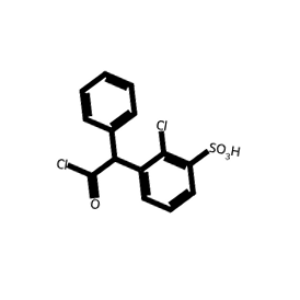 O=C(Cl)C(c1ccccc1)c1cccc(S(=O)(=O)O)c1Cl